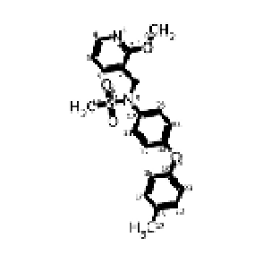 COc1ncccc1CN(c1ccc(Oc2ccc(C)cc2)cc1)S(C)(=O)=O